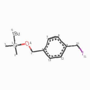 CC(C)(C)[Si](C)(C)OCc1ccc(CI)cc1